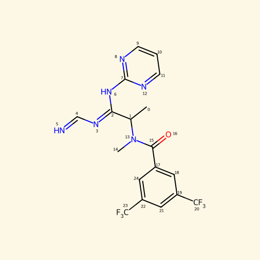 CC(/C(=N/C=N)Nc1ncccn1)N(C)C(=O)c1cc(C(F)(F)F)cc(C(F)(F)F)c1